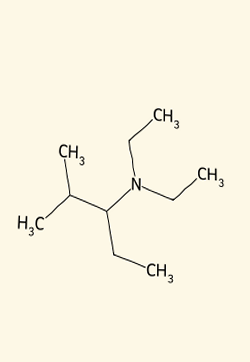 CCC(C(C)C)N(CC)CC